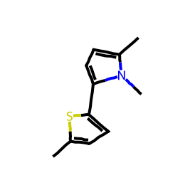 Cc1ccc(-c2ccc(C)n2C)s1